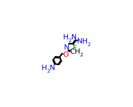 C=C(/N=C\C(F)=C(N)N)OCc1ccc(N)cc1